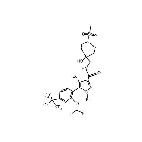 CCn1nc(C(=O)NCC2(O)CCC(S(C)(=O)=O)CC2)c(Cl)c1-c1ccc(C(O)(C(F)(F)F)C(F)(F)F)cc1OC(F)F